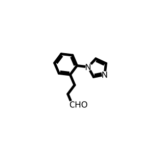 O=CCCc1ccccc1-n1ccnc1